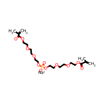 C=C(C)C(=O)OCCOCCOCCOP(=O)([O-])OCCOCCOCCOC(=O)C(=C)C.[Na+]